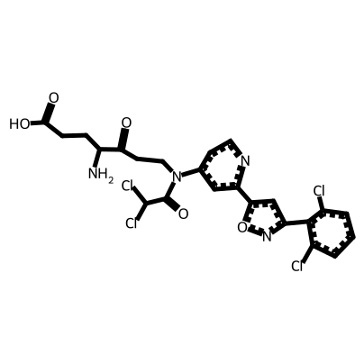 NC(CCC(=O)O)C(=O)CCN(C(=O)C(Cl)Cl)c1ccnc(-c2cc(-c3c(Cl)cccc3Cl)no2)c1